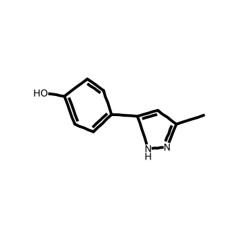 Cc1cc(-c2ccc(O)cc2)[nH]n1